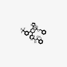 CC(Nc1nccc(C2CN(C(=O)OCc3ccccc3)C(c3ncc[nH]3)CC2c2cccc(C(F)(F)F)c2)n1)c1ccccc1